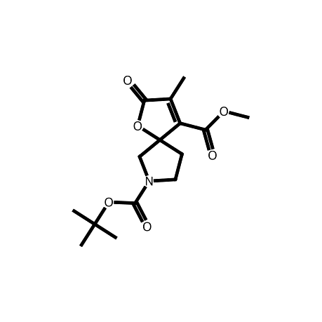 COC(=O)C1=C(C)C(=O)OC12CCN(C(=O)OC(C)(C)C)C2